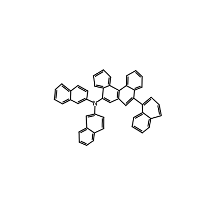 c1ccc2cc(N(c3ccc4ccccc4c3)c3cc4cc(-c5cccc6ccccc56)c5ccccc5c4c4ccccc34)ccc2c1